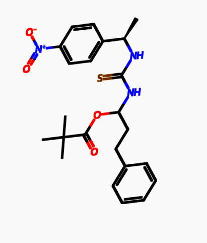 C[C@@H](NC(=S)NC(CCc1ccccc1)OC(=O)C(C)(C)C)c1ccc([N+](=O)[O-])cc1